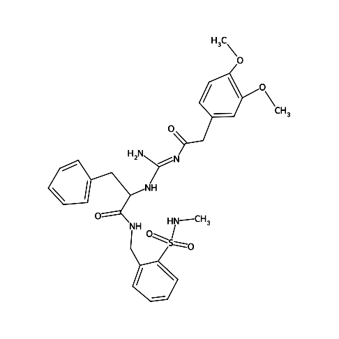 CNS(=O)(=O)c1ccccc1CNC(=O)C(Cc1ccccc1)NC(N)=NC(=O)Cc1ccc(OC)c(OC)c1